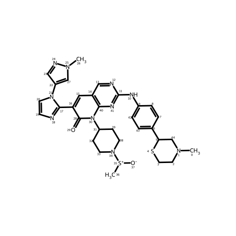 CN1CCSC(c2ccc(Nc3ncc4cc(-c5nccn5-c5cnn(C)c5)c(=O)n(C5CCN([S+](C)[O-])CC5)c4n3)cc2)C1